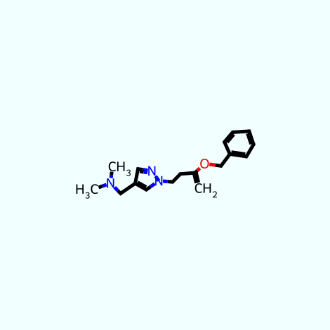 C=C(CCn1cc(CN(C)C)cn1)OCc1ccccc1